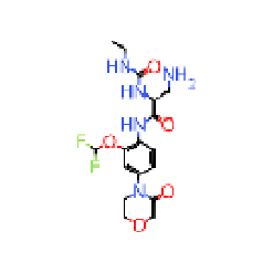 CCNC(=O)N[C@@H](CN)C(=O)Nc1ccc(N2CCOCC2=O)cc1OC(F)F